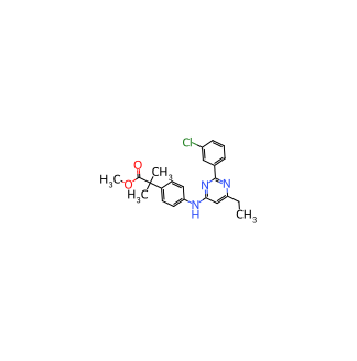 CCc1cc(Nc2ccc(C(C)(C)C(=O)OC)cc2)nc(-c2cccc(Cl)c2)n1